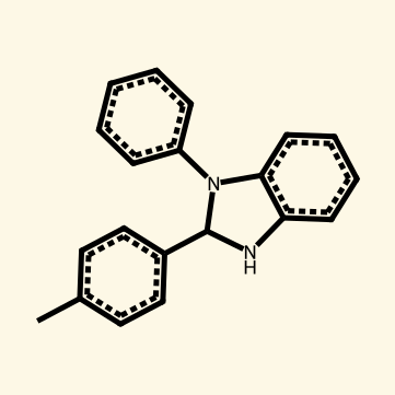 Cc1ccc(C2Nc3ccccc3N2c2ccccc2)cc1